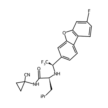 CC(C)C[C@H](N[C@H](c1ccc2c(c1)oc1cc(F)ccc12)C(F)(F)F)C(=O)NC1(C#N)CC1